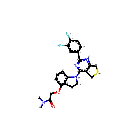 CN(C)C(=O)COc1cccc2c1CCN2c1nc(-c2ccc(F)c(F)c2)nc2c1CSC2